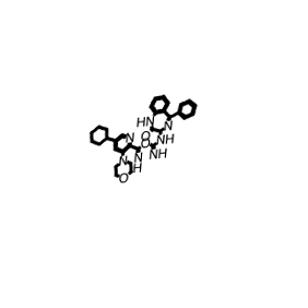 N=C(NC1N=C(c2ccccc2)c2ccccc2NC1=O)OC(=N)c1ncc(C2CCCCC2)cc1N1CCOCC1